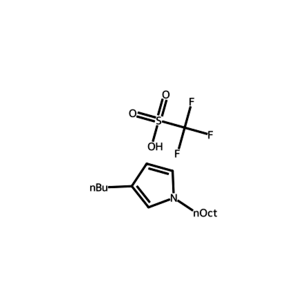 CCCCCCCCn1ccc(CCCC)c1.O=S(=O)(O)C(F)(F)F